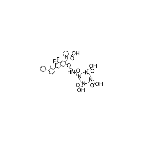 Cc1c(/C=C/c2cc(OCCNC(=O)CN3CCN(CC(=O)O)CCN(CC(=O)O)CCN(CC(=O)O)CC3)c(CN3CCCC[C@H]3C(=O)O)cc2C(F)(F)F)cccc1-c1ccccc1